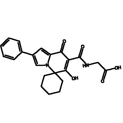 O=C(O)CNC(=O)C1=C(O)C2(CCCCC2)n2cc(-c3ccccc3)cc2C1=O